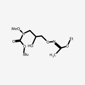 CCOC(C)=NOCC(O)CN(OC)C(=O)OC(C)(C)C